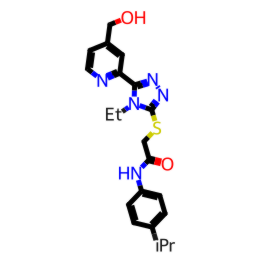 CCn1c(SCC(=O)Nc2ccc(C(C)C)cc2)nnc1-c1cc(CO)ccn1